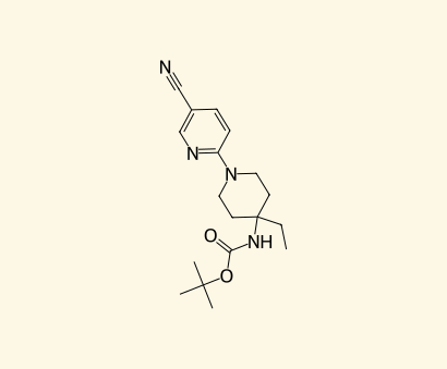 CCC1(NC(=O)OC(C)(C)C)CCN(c2ccc(C#N)cn2)CC1